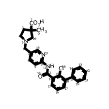 CC1(C(=O)O)CCN(Cc2ccc(NC(=O)c3cccc(-c4ccccc4)c3Cl)nc2)C1